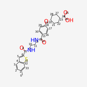 Cc1ccc2cc(C(=O)NCCNC(=O)c3ccc(O[C@H]4CC[C@@H](C(=O)O)CC4)cc3)sc2c1